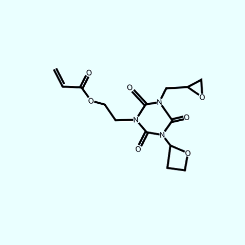 C=CC(=O)OCCn1c(=O)n(CC2CO2)c(=O)n(C2CCO2)c1=O